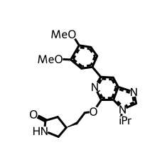 COc1ccc(-c2cc3ncn(C(C)C)c3c(OCC[C@H]3CNC(=O)C3)n2)cc1OC